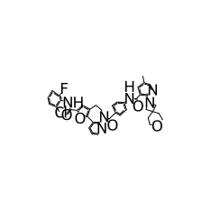 Cc1cnc(N2CC3(CCOCC3)C2)c(C(=O)Nc2ccc(C(=O)N3CCc4cc(C(=O)Nc5c(F)cccc5Cl)oc4-c4cccnc43)cc2)c1